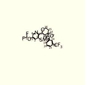 CSc1cc(OC(F)F)cnc1C1CC(C)(S(=O)(=O)c2cccc(C(F)(F)F)c2)CCO1